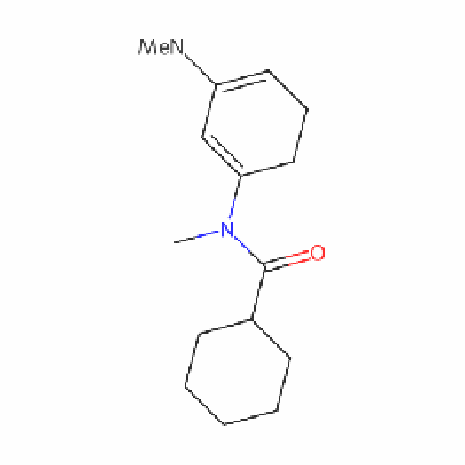 CNC1=CCCC(N(C)C(=O)C2CCCCC2)=C1